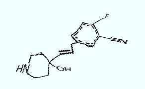 N#Cc1cc(C=CC2(O)CCNCC2)ccc1F